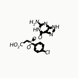 Nc1nc2[nH]cnc2c(=O)[nH]1.O=C(O)CS(=O)(=O)c1ccc(Cl)cc1